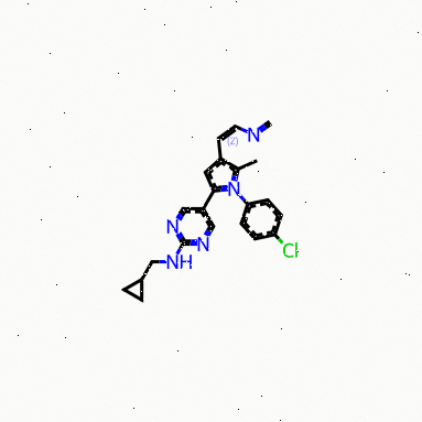 C=N/C=C\c1cc(-c2cnc(NCC3CC3)nc2)n(-c2ccc(Cl)cc2)c1C